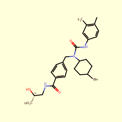 Cc1ccc(NC(=O)N(Cc2ccc(C(=O)NC[C@@H](O)C(=O)O)cc2)C2CCC(C(C)(C)C)CC2)cc1C(F)(F)F